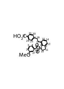 COc1cccc(S(=O)(=O)N2CCc3cccc(CCc4ccc(C(=O)O)cc4)c32)c1